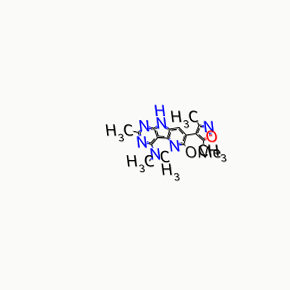 COc1nc2c(cc1-c1c(C)noc1C)[nH]c1nc(C)nc(N(C)C)c12